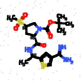 C[C@@H](NC(=O)[C@@H]1C[C@@H](S(C)(=O)=O)CN1C(=O)OC(C)(C)C)c1cc(C(=N)N)cs1